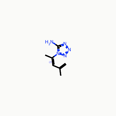 C=C(C)/C=C(/C)n1nnnc1N